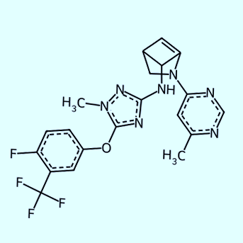 Cc1cc(N2CC3C=C2C3Nc2nc(Oc3ccc(F)c(C(F)(F)F)c3)n(C)n2)ncn1